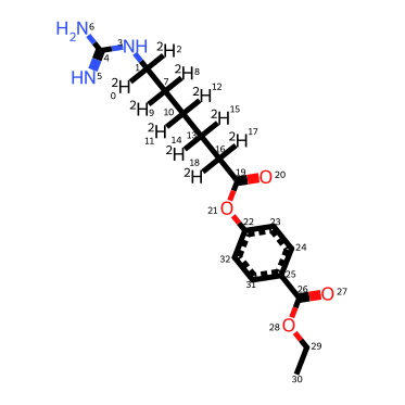 [2H]C([2H])(NC(=N)N)C([2H])([2H])C([2H])([2H])C([2H])([2H])C([2H])([2H])C(=O)Oc1ccc(C(=O)OCC)cc1